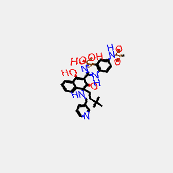 CC(C)(C)CCC1(NCc2cccnc2)C(=O)C(C2=NS(O)(O)c3cc(NS(C)(=O)=O)ccc3N2)=C(O)c2ccccc21